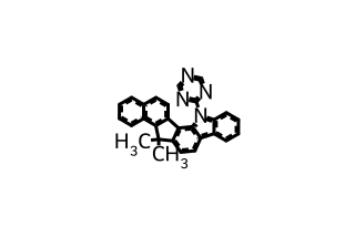 CC1(C)c2ccc3c4ccccc4n(-c4ncncn4)c3c2-c2ccc3ccccc3c21